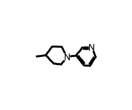 CC1CCN(c2cccnc2)CC1